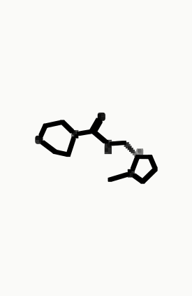 CN1CCC[C@H]1CNC(=O)N1CCOCC1